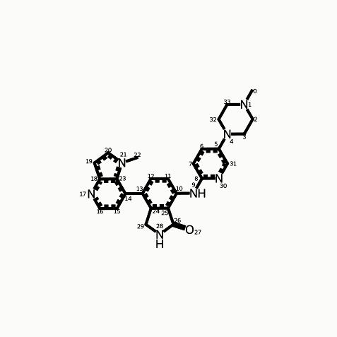 CN1CCN(c2ccc(Nc3ccc(-c4ccnc5ccn(C)c45)c4c3C(=O)NC4)nc2)CC1